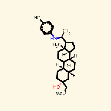 COC[C@@]1(O)CC[C@H]2[C@H](CC[C@@H]3[C@@H]2CC[C@]2(C)[C@@H]([C@H](C)Nc4ccc(C#N)cc4)CC[C@@H]32)C1